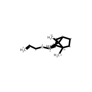 C=CCON=C1CC2CCC1(C)C2(C)C